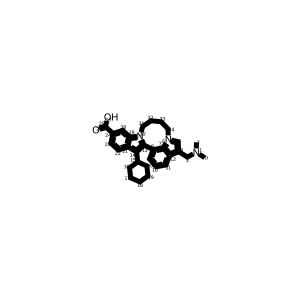 CN(C)Cc1cn2c3c(cccc13)-c1c(C3CCCCC3)c3ccc(C(=O)O)cc3n1CCCC2